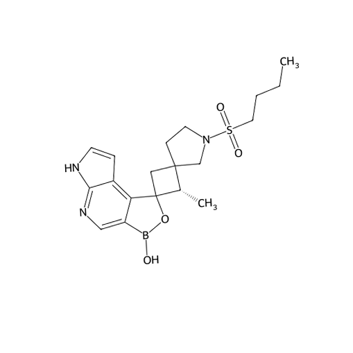 CCCCS(=O)(=O)N1CCC2(C1)CC1(OB(O)c3cnc4[nH]ccc4c31)[C@H]2C